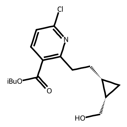 CC(C)COC(=O)c1ccc(Cl)nc1CC[C@@H]1C[C@@H]1CO